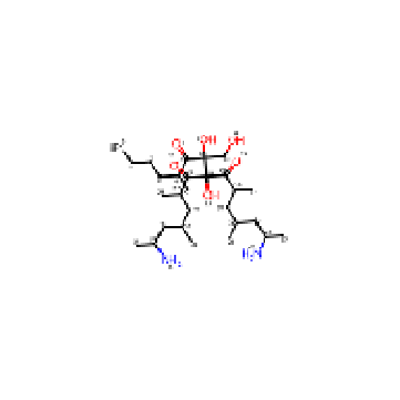 CC(C)CCCC(C)C(=O)C(O)(CO)C(O)(C(=O)C(C)CC(C)CC(C)N)C(=O)C(C)CC(C)CC(C)N